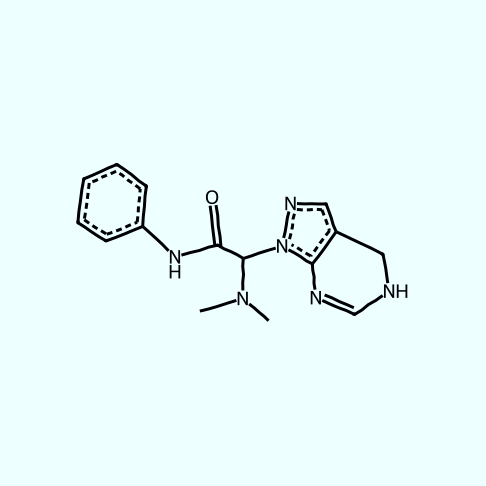 CN(C)C(C(=O)Nc1ccccc1)n1ncc2c1N=CNC2